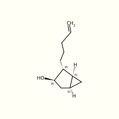 C=CCCC[C@@H]1[C@H]2C[C@H]2C[C@H]1O